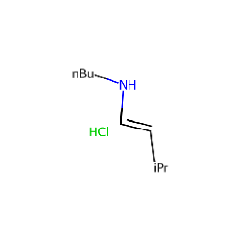 CCCCNC=CC(C)C.Cl